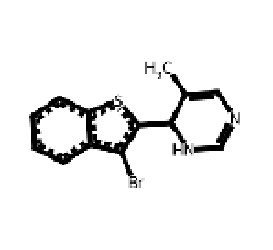 CC1=CN=CNC1c1sc2ccccc2c1Br